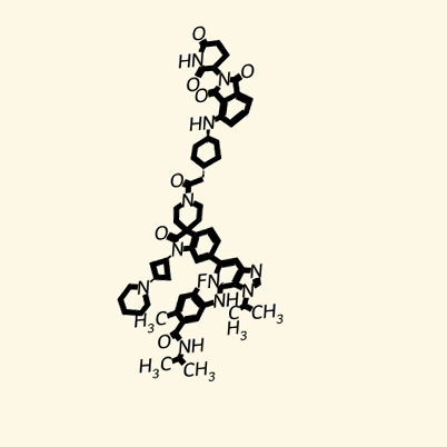 Cc1cc(F)c(Nc2nc(-c3ccc4c(c3)N([C@H]3C[C@@H](N5CCCCC5)C3)C(=O)C43CCN(C(=O)C[C@H]4CC[C@H](Nc5cccc6c5C(=O)N(C5CCC(=O)NC5=O)C6=O)CC4)CC3)cc3ncn(C(C)C)c23)cc1C(=O)NC(C)C